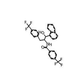 O=C(NC(Cc1ccc(C(F)(F)F)cc1)C(O)c1cccc2ccccc12)c1ccc(C(F)(F)F)cc1